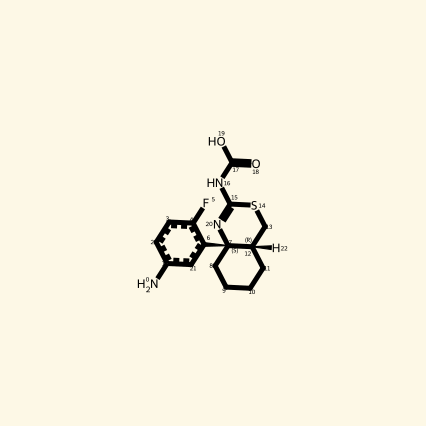 Nc1ccc(F)c([C@]23CCCC[C@H]2CSC(NC(=O)O)=N3)c1